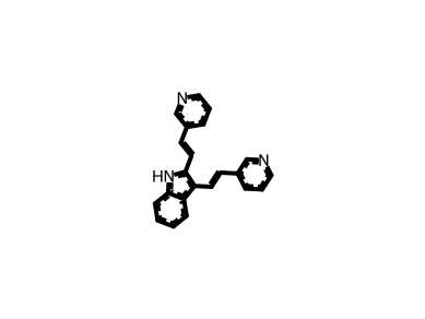 C(=C\c1[nH]c2ccccc2c1/C=C/c1cccnc1)/c1cccnc1